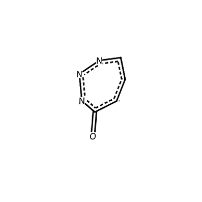 O=c1[c]ccnnn1